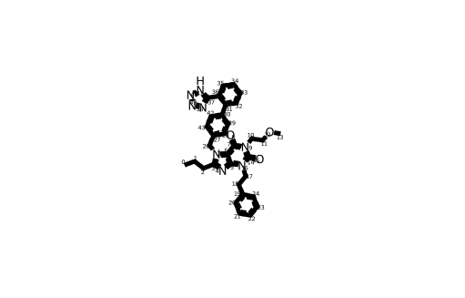 CCCc1nc2c(c(=O)n(CCOC)c(=O)n2CCc2ccccc2)n1Cc1ccc(-c2ccccc2-c2nnn[nH]2)cc1